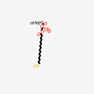 CCCCCCCC(=O)O[C@H](COP=O)COC(=O)CCCCCCCCCCCCCCCS